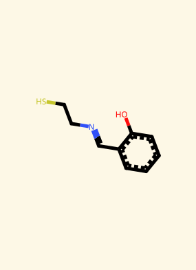 Oc1ccccc1C=NCCS